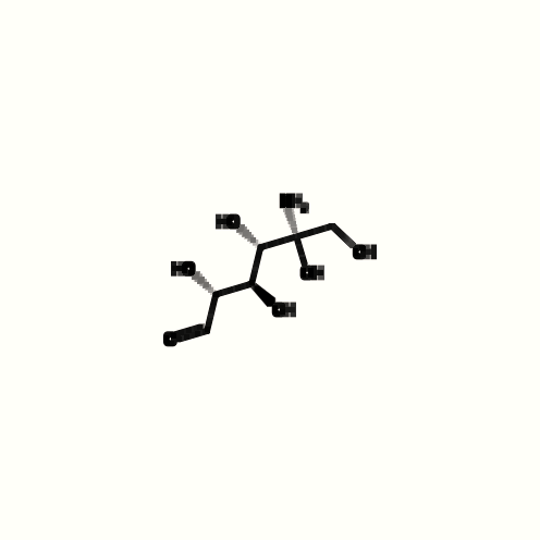 N[C@@](O)(CO)[C@@H](O)[C@@H](O)[C@@H](O)C=O